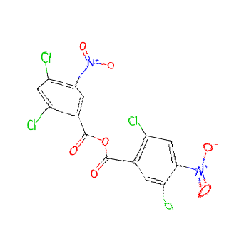 O=C(OC(=O)c1cc([N+](=O)[O-])c(Cl)cc1Cl)c1cc(Cl)c([N+](=O)[O-])cc1Cl